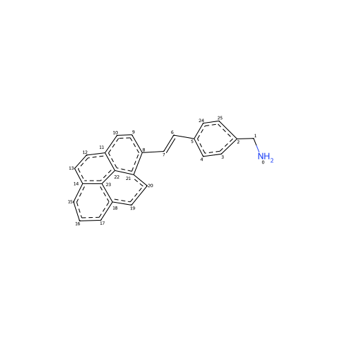 NCc1ccc(C=Cc2ccc3ccc4cccc5ccc2c3c45)cc1